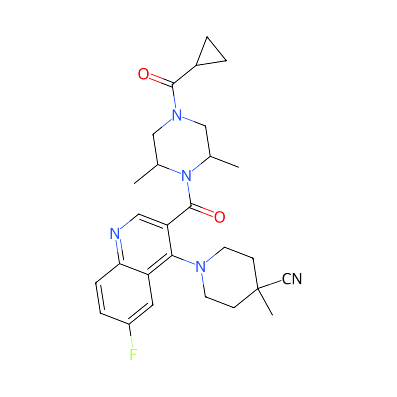 CC1CN(C(=O)C2CC2)CC(C)N1C(=O)c1cnc2ccc(F)cc2c1N1CCC(C)(C#N)CC1